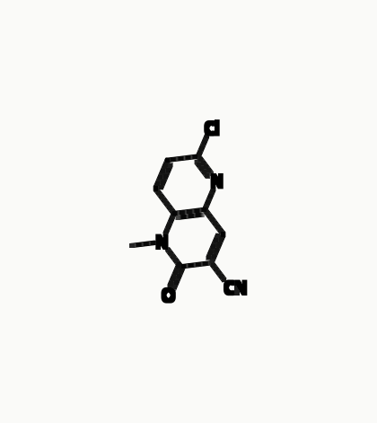 Cn1c(=O)c(C#N)cc2nc(Cl)ccc21